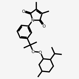 CC1=C(C)C(=O)N(c2cccc(C(C)(C)OOC3CC(C)CCC3C(C)C)c2)C1=O